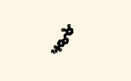 NS(=O)(=O)c1ccc2c(c1)CCN2Cc1cccc(Cl)c1Cl